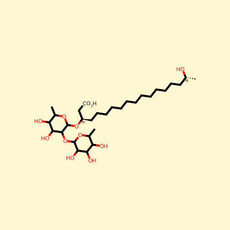 CC1OC(OC2C(O[C@H](CCCCCCCCCCCCC[C@@H](C)O)CC(=O)O)OC(C)C(O)C2O)C(O)C(O)C1O